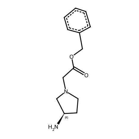 N[C@@H]1CCN(CC(=O)OCc2ccccc2)C1